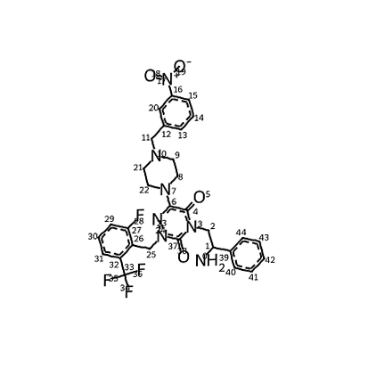 NC(Cn1c(=O)c(N2CCN(Cc3cccc([N+](=O)[O-])c3)CC2)nn(Cc2c(F)cccc2C(F)(F)F)c1=O)c1ccccc1